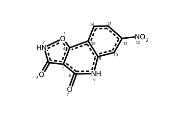 O=c1[nH]oc2c1c(=O)[nH]c1cc([N+](=O)[O-])ccc12